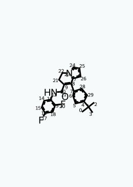 CC(C)(C)c1ccc(C2=C(C(=O)Nc3ccc(F)cc3F)CCn3cccc32)cc1